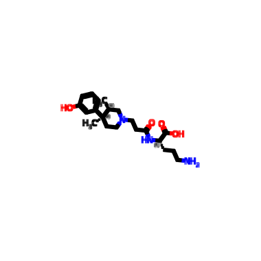 C[C@H]1CN(CCC(=O)N[C@@H](CCCN)C(=O)O)CC[C@@]1(C)c1cccc(O)c1